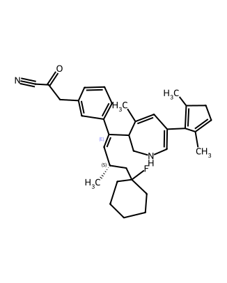 CC1=CCC(C)=C1C1=CNCC(/C(=C\[C@@H](C)CC2(F)CCCCC2)c2cccc(CC(=O)C#N)c2)C(C)=C1